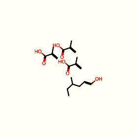 C=C(C)C(=O)O.C=C(C)C(=O)O.C=C(C)C(=O)O.CCC(C)CC=CO